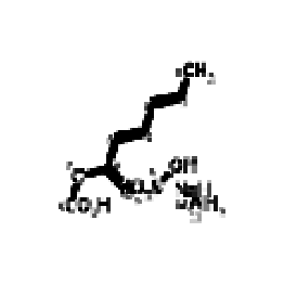 C/C=C/C=C/C(=O)OC(=O)O.O=S(=O)(O)O.[AlH3].[NaH]